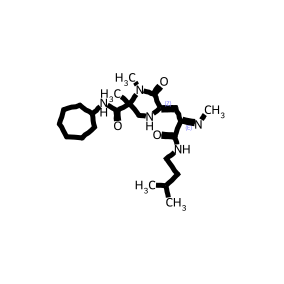 C/N=C(\C=C1/NCC(C)(C(=O)NC2CCCCCC2)N(C)C1=O)C(=O)NCCC(C)C